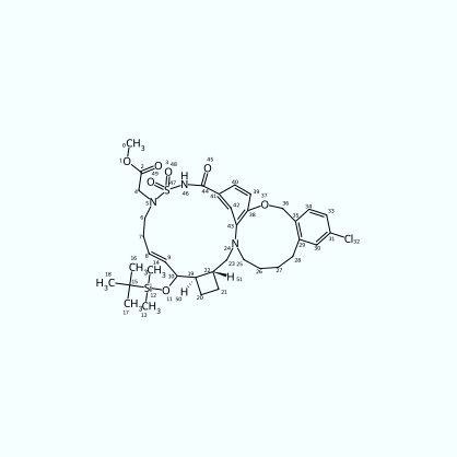 COC(=O)CN1CC/C=C/C(O[Si](C)(C)C(C)(C)C)[C@@H]2CC[C@H]2CN2CCCCc3cc(Cl)ccc3COc3ccc(cc32)C(=O)NS1(=O)=O